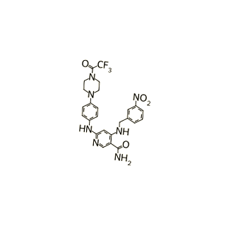 NC(=O)c1cnc(Nc2ccc(N3CCN(C(=O)C(F)(F)F)CC3)cc2)cc1NCc1cccc([N+](=O)[O-])c1